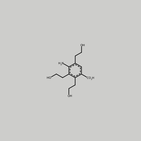 Nc1c(CCO)cc(C(=O)O)c(CCO)c1CCO